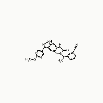 COc1ncc(-c2n[nH]c3cc4c(cc23)CN([C@H](C)c2cccc(C#N)c2)C(=O)N4)cn1